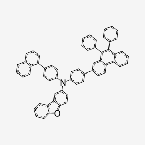 c1ccc(-c2c(-c3ccccc3)c3cc(-c4ccc(N(c5ccc(-c6cccc7ccccc67)cc5)c5ccc6oc7ccccc7c6c5)cc4)ccc3c3ccccc23)cc1